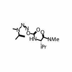 C=C(C)N(C)/N=N\OC(=O)N[C@H](C(=O)NC)C(C)C